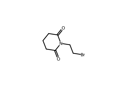 O=C1CCCC(=O)N1CCBr